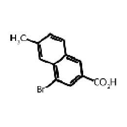 Cc1ccc2cc(C(=O)O)cc(Br)c2c1